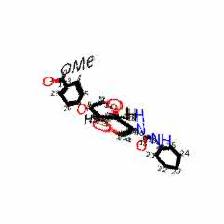 COC(=O)c1ccc(O[C@H]2CO[C@H]3[C@@H]2OC[C@@H]3NC(=O)NC2CCCCC2)cc1